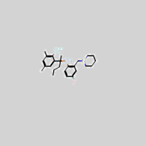 CCCC(C)(Pc1ccc(F)cc1CN1CCCCC1)c1cc(C)cc(C)c1O